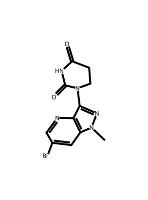 Cn1nc(N2CCC(=O)NC2=O)c2ncc(Br)cc21